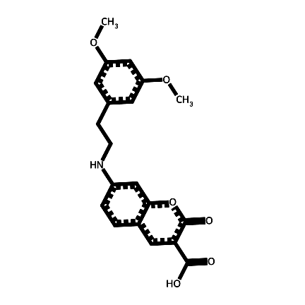 COc1cc(CCNc2ccc3cc(C(=O)O)c(=O)oc3c2)cc(OC)c1